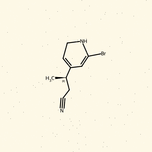 C[C@H](CC#N)C1=CCNC(Br)=C1